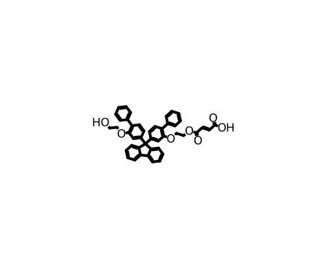 O=C(O)C=CC(=O)OCCOc1cc(C2(c3ccc(-c4ccccc4)c(OCCO)c3)c3ccccc3-c3ccccc32)ccc1-c1ccccc1